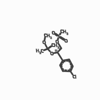 COC(C)(C)O[C@@H](COS(C)(=O)=O)c1ccc(Cl)cc1